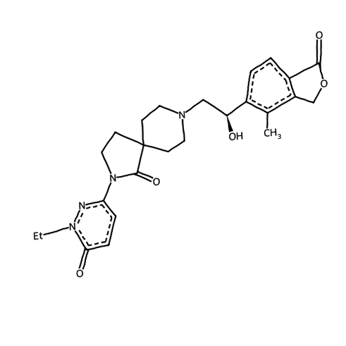 CCn1nc(N2CCC3(CCN(C[C@H](O)c4ccc5c(c4C)COC5=O)CC3)C2=O)ccc1=O